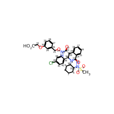 CS(=O)(=O)N[C@H]1CCCC[C@@H]1N1C(=O)c2ccccc2[C@@H](C(=O)NOCc2cccc(OCC(=O)O)c2)[C@@H]1c1ccc(Cl)cc1